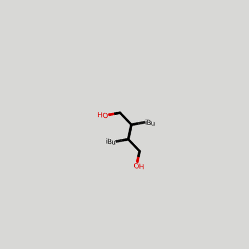 CCC(C)C(CO)C(CO)C(C)CC